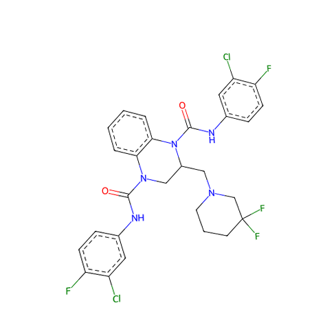 O=C(Nc1ccc(F)c(Cl)c1)N1CC(CN2CCCC(F)(F)C2)N(C(=O)Nc2ccc(F)c(Cl)c2)c2ccccc21